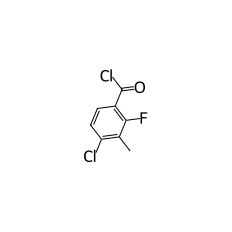 Cc1c(Cl)ccc(C(=O)Cl)c1F